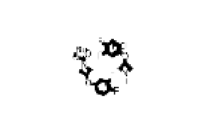 CC(C)(C)OC(=O)N1CC(Oc2ccc(F)c(F)c2)C1.Cl.Fc1ccc(OC2CNC2)cc1F